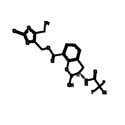 CCC(F)(F)C(=O)N[C@H]1Cc2cccc(C(=O)OCc3oc(=O)oc3CC(C)C)c2OB1O